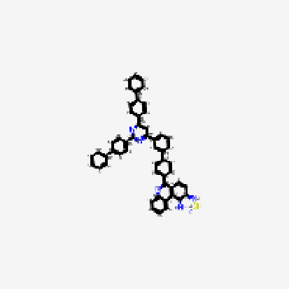 NC1/C(=N\S)C=Cc2c(-c3ccc(-c4cccc(-c5cc(-c6ccc(-c7ccccc7)cc6)nc(-c6ccc(-c7ccccc7)cc6)n5)c4)cc3)nc3ccccc3c21